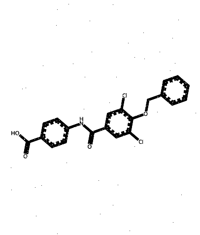 O=C(O)c1ccc(NC(=O)c2cc(Cl)c(OCc3ccccc3)c(Cl)c2)cc1